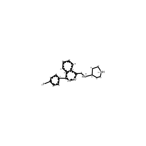 Fc1ccc(-c2nnc(CNC3CCNCC3)c3ccccc23)cc1